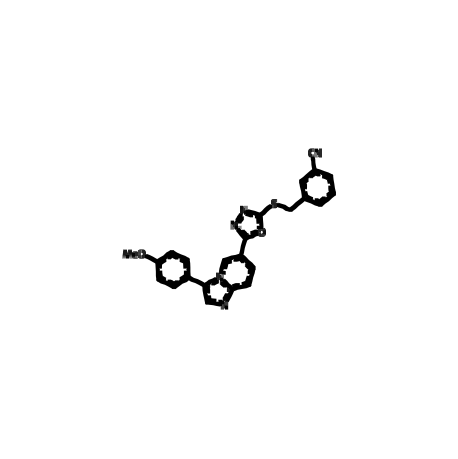 COc1ccc(-c2cnc3ccc(-c4nnc(SCc5cccc(C#N)c5)o4)cn23)cc1